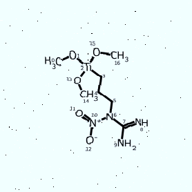 C[O][Ti]([CH2]CCN(C(=N)N)[N+](=O)[O-])([O]C)[O]C